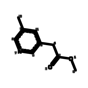 COC(=O)Cc1cncc(C)c1